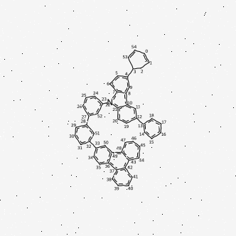 C1=CCC(c2ccc3c(c2)c2cc(-c4ccccc4)ccc2n3-c2cccc(-c3cccc(-c4ccc5c6ccccc6c6ccccc6c5c4)c3)c2)C=C1